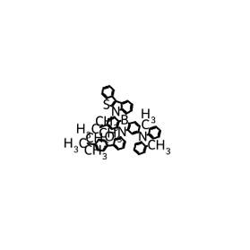 Cc1ccccc1N(c1ccc2c(c1)N(c1cccc3c1oc1cc(C(C)(C)C)ccc13)c1cc(C(C)(C)C)cc3c1B2c1cccc2c4c5ccccc5sc4n-3c12)c1ccccc1C